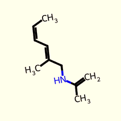 C=C(C)NC/C(C)=C/C=C\C